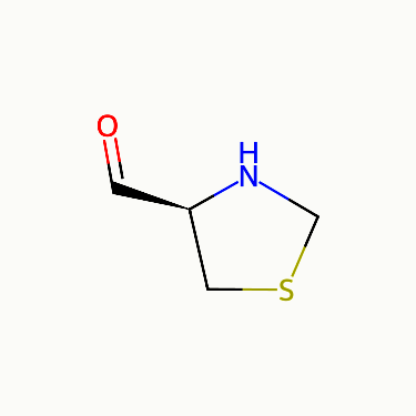 O=C[C@@H]1CSCN1